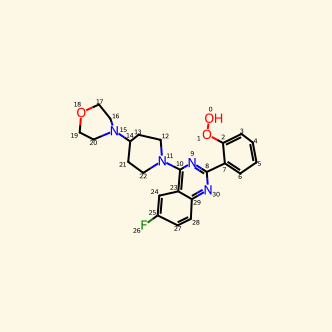 OOc1ccccc1-c1nc(N2CCC(N3CCOCC3)CC2)c2cc(F)ccc2n1